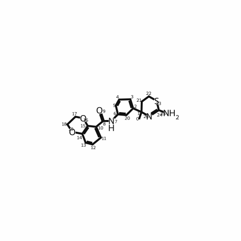 CC1(c2cccc(NC(=O)c3cccc4c3OCCO4)c2)CCSC(N)=N1